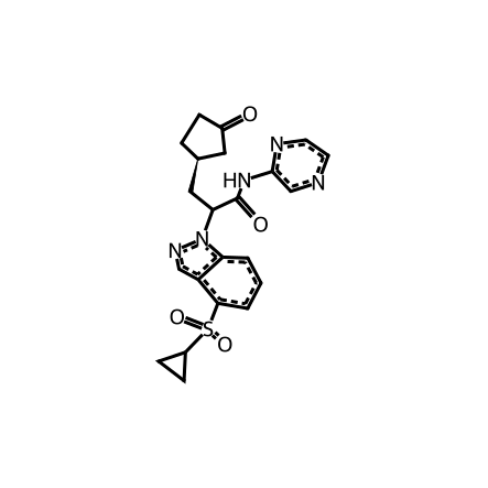 O=C1CC[C@H](CC(C(=O)Nc2cnccn2)n2ncc3c(S(=O)(=O)C4CC4)cccc32)C1